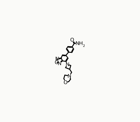 NC(=O)c1ccc(-c2cc(N3CC(CN4CCOCC4)C3)c3nonc3c2)cc1